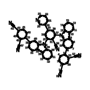 N#Cc1ccc(-c2ccc3c4ccccc4n(-c4cc(-c5cccnc5)cc(-n5c6ccccc6c6ccc(-c7ccc(C#N)cc7C#N)cc65)c4C#N)c3c2)c(C#N)c1